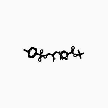 Cc1ccc(S(=O)(=O)OCC(F)Cn2cc(C(=O)OC(C)(C)C)nn2)cc1